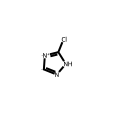 ClC1=[N+][C]=NN1